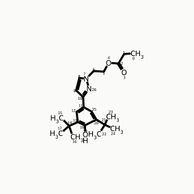 CCC(=O)OCCn1ccc(-c2cc(C(C)(C)C)c(O)c(C(C)(C)C)c2)n1